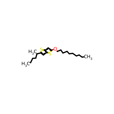 C[CH]CCC(C)c1cc2sc(OCCCCCCCCCC)cc2s1